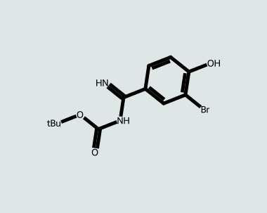 CC(C)(C)OC(=O)NC(=N)c1ccc(O)c(Br)c1